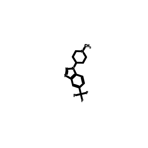 CN1CCC(n2nnc3cc(C(F)(F)F)ccc32)CC1